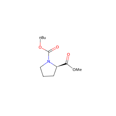 CCCCOC(=O)N1CCC[C@@H]1C(=O)OC